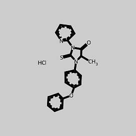 CC1C(=O)N(c2ccccn2)C(=S)N1c1ccc(Oc2ccccc2)cc1.Cl